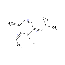 C=C/C=C\C(=C/C(C)C)N(C)/N=C\C